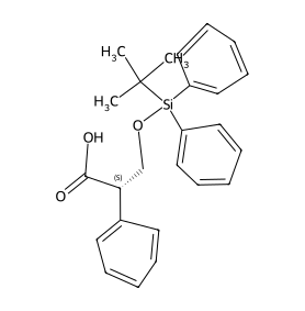 CC(C)(C)[Si](OC[C@@H](C(=O)O)c1ccccc1)(c1ccccc1)c1ccccc1